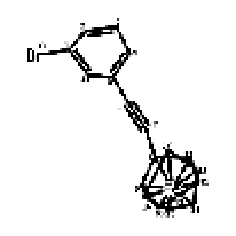 Brc1cccc(C#C[C]23[CH]4[CH]5[CH]6[CH]2[Fe]56432789[CH]3[CH]2[CH]7[CH]8[CH]39)c1